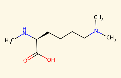 CN[C@@H](CCCCN(C)C)C(=O)O